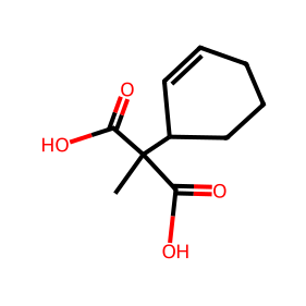 CC(C(=O)O)(C(=O)O)C1C=CCCC1